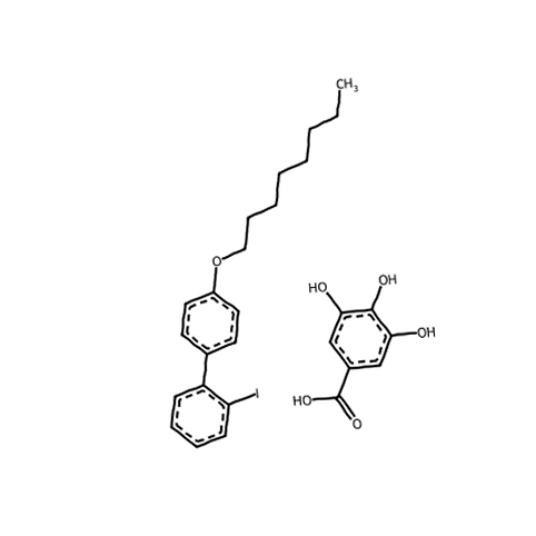 CCCCCCCCOc1ccc(-c2ccccc2I)cc1.O=C(O)c1cc(O)c(O)c(O)c1